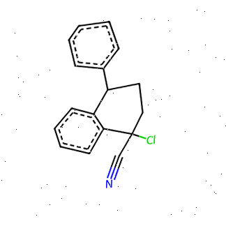 N#CC1(Cl)CCC(c2ccccc2)c2ccccc21